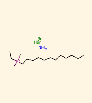 Br.CCCCCCCCCCCC[P+](C)(C)CC.N.[Br-]